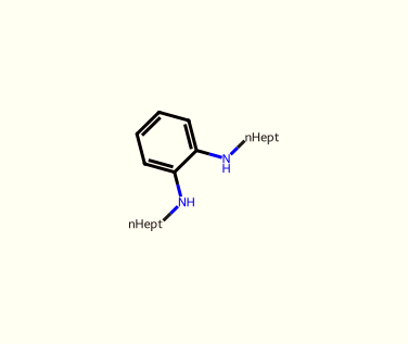 CCCCCCCNc1ccccc1NCCCCCCC